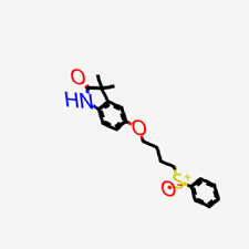 CC1(C)C(=O)Nc2ccc(OCCCC[S+]([O-])c3ccccc3)cc21